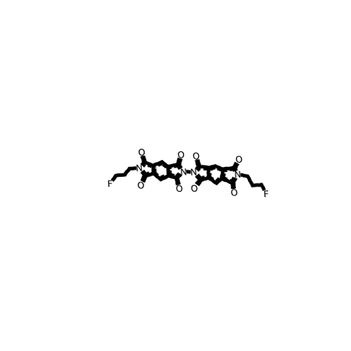 O=c1c2cc3c(=O)n(-n4c(=O)c5cc6c(=O)n(CCCF)c(=O)c6cc5c4=O)c(=O)c3cc2c(=O)n1CCCF